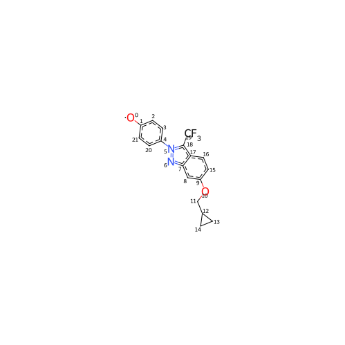 [O]c1ccc(-n2nc3cc(OCC4CC4)ccc3c2C(F)(F)F)cc1